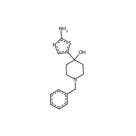 Nc1ncc(C2(O)CCN(Cc3ccccc3)CC2)s1